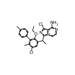 CCOc1c(C(C)c2nc(Cl)c3c(N)nccn23)cc(Cl)c(C)c1-c1ccc(C)cc1